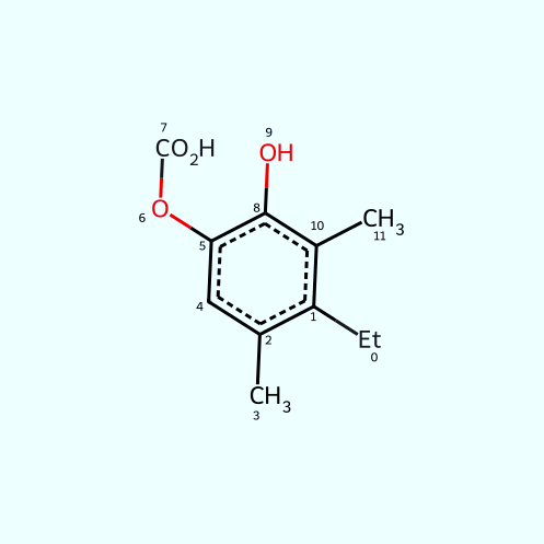 CCc1c(C)cc(OC(=O)O)c(O)c1C